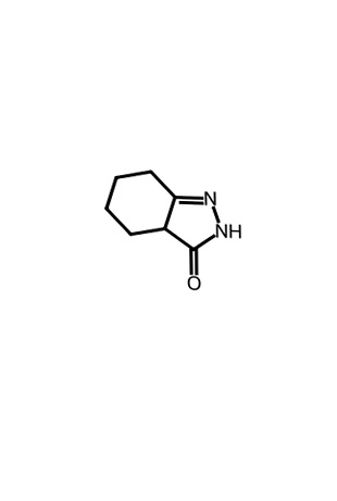 O=C1NN=C2CCCCC12